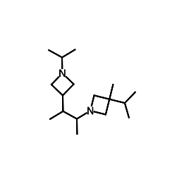 CC(C1CN(C(C)C)C1)C(C)N1CC(C)(C(C)C)C1